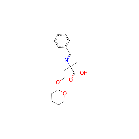 CC(CCOC1CCCCO1)(N=Cc1ccccc1)C(=O)O